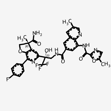 Cc1cnc2c(NC(=O)c3ncc(C)o3)cc(C(=O)NC[C@](O)(c3cc4c(c(-c5ccc(F)cc5)n3)OC[C@]4(C)C(N)=O)C(F)(F)F)cc2c1